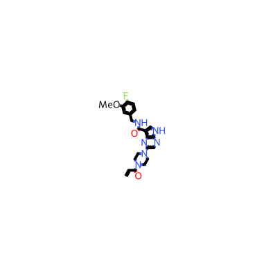 C=CC(=O)N1CCN(c2cnc3[nH]cc(C(=O)NCc4ccc(F)c(OC)c4)c3n2)CC1